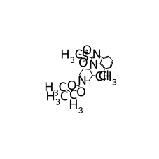 C[C@H]1CN(C(=O)OC(C)(C)C)CC[C@@H]1n1c(S(C)(=O)=O)nc2cccc(Cl)c21